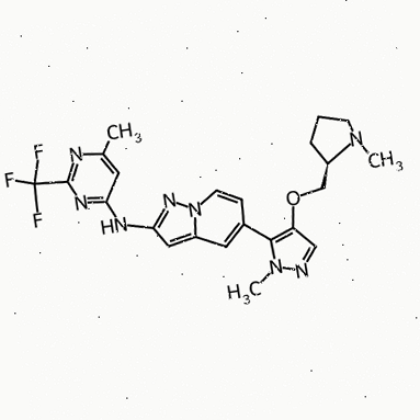 Cc1cc(Nc2cc3cc(-c4c(OC[C@H]5CCCN5C)cnn4C)ccn3n2)nc(C(F)(F)F)n1